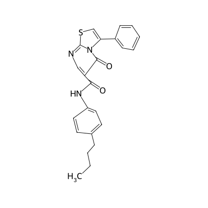 CCCCc1ccc(NC(=O)c2cnc3scc(-c4ccccc4)n3c2=O)cc1